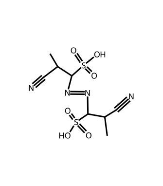 CC(C#N)C(N=NC(C(C)C#N)S(=O)(=O)O)S(=O)(=O)O